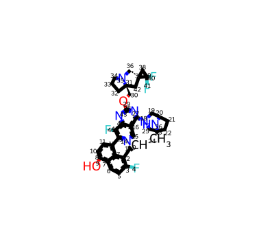 C#Cc1c(F)ccc2c(O)ccc(-c3ncc4c(N5CC6CCC(C)(C5)N6)nc(OC[C@@]56CCCN5C[C@@]5(CC5(F)F)C6)nc4c3F)c12